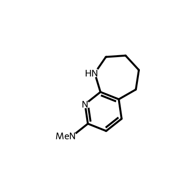 CNc1ccc2c(n1)NCCCC2